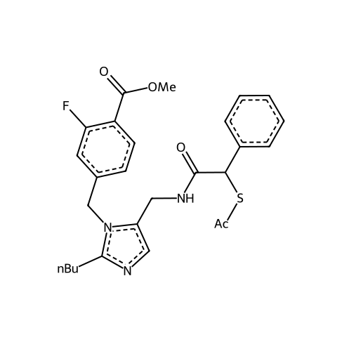 CCCCc1ncc(CNC(=O)C(SC(C)=O)c2ccccc2)n1Cc1ccc(C(=O)OC)c(F)c1